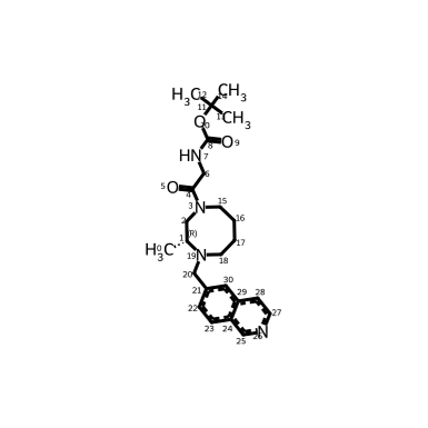 C[C@@H]1CN(C(=O)CNC(=O)OC(C)(C)C)CCCCN1Cc1ccc2cnccc2c1